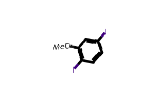 COc1cc(I)ccc1I